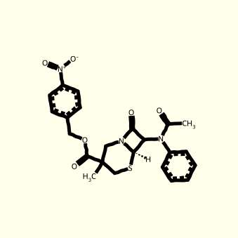 CC(=O)N(c1ccccc1)C1C(=O)N2CC(C)(C(=O)OCc3ccc([N+](=O)[O-])cc3)CS[C@H]12